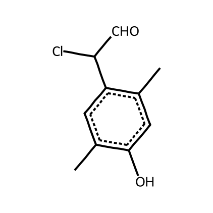 Cc1cc(C(Cl)C=O)c(C)cc1O